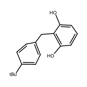 CC(C)(C)c1ccc(Cc2c(O)cccc2O)cc1